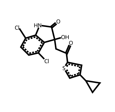 O=C(CC1(O)C(=O)Nc2c(Cl)ccc(Cl)c21)c1cc(C2CC2)cs1